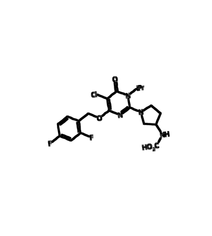 CC(C)n1c(N2CCC(NC(=O)O)C2)nc(OCc2ccc(F)cc2F)c(Cl)c1=O